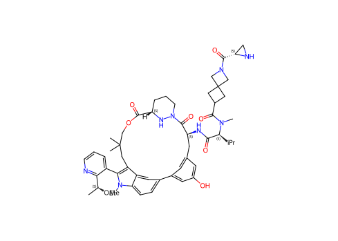 CCn1c(-c2cccnc2[C@H](C)OC)c2c3cc(ccc31)-c1cc(O)cc(c1)C[C@H](NC(=O)[C@H](C(C)C)N(C)C(=O)C1CC3(C1)CN(C(=O)[C@@H]1CN1)C3)C(=O)N1CCC[C@H](N1)C(=O)OCC(C)(C)C2